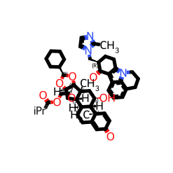 CC(C)C(=O)OCC(=O)[C@@]12O[C@H](C3CCCCC3)O[C@@H]1C[C@H]1[C@@H]3CCC4=CC(=O)C=C[C@]4(C)[C@H]3[C@@H](O)C[C@@]12C.Cc1nccn1C[C@H]1CCc2c(c3cccc4c3n2CCC4)C1=O